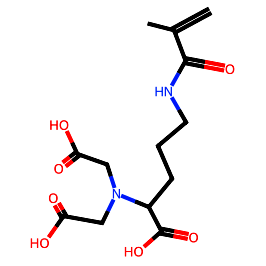 C=C(C)C(=O)NCCCC(C(=O)O)N(CC(=O)O)CC(=O)O